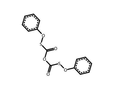 O=C(OC(=O)SOc1ccccc1)SOc1ccccc1